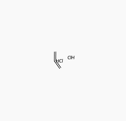 C=C=C.Cl.Cl